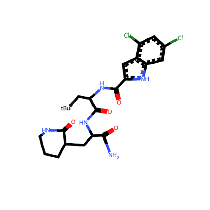 CC(C)(C)CC(NC(=O)c1cc2c(Cl)cc(Cl)cc2[nH]1)C(=O)NC(CC1CCCNC1=O)C(N)=O